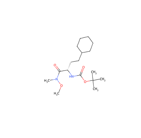 CON(C)C(=O)[C@H](CCC1CCCCC1)NC(=O)OC(C)(C)C